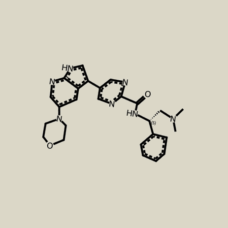 CN(C)C[C@@H](NC(=O)c1ncc(-c2c[nH]c3ncc(N4CCOCC4)cc23)cn1)c1ccccc1